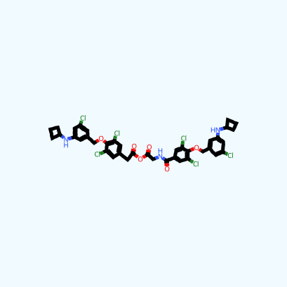 O=C(CNC(=O)c1cc(Cl)c(OCc2cc(Cl)cc(NC3CCC3)c2)c(Cl)c1)OC(=O)Cc1cc(Cl)c(OCc2cc(Cl)cc(NC3CCC3)c2)c(Cl)c1